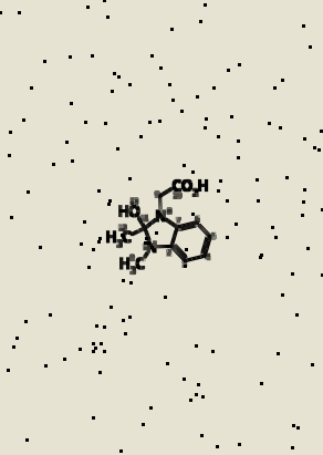 CN1c2ccccc2N(CC(=O)O)C1(C)O